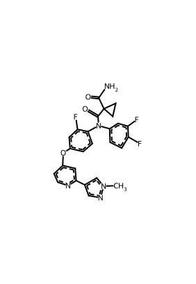 Cn1cc(-c2cc(Oc3ccc(N(C(=O)C4(C(N)=O)CC4)c4ccc(F)c(F)c4)c(F)c3)ccn2)cn1